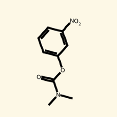 CN(C)C(=O)Oc1cccc([N+](=O)[O-])c1